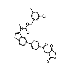 Cc1cc(Cl)cc(COC(=O)N(C)C2=CCc3ccc(C4=CCN(C(=O)CN5C(=O)CSC5=S)CC4)cc32)c1